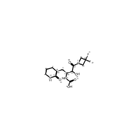 O=C(O)N[C@@H](C[C@@H]1CCCNC1=O)C(O)C(=O)N1CC(F)(F)C1